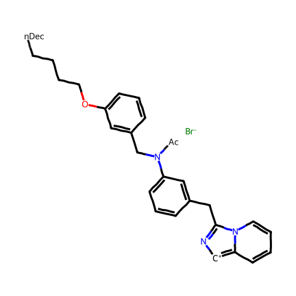 CCCCCCCCCCCCCCOc1cccc(CN(C(C)=O)c2cccc(CC3=N[C+]=C4C=CC=CN43)c2)c1.[Br-]